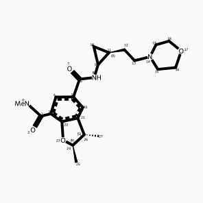 CNC(=O)c1cc(C(=O)NC2C[C@H]2CCN2CCOCC2)cc2c1O[C@H](C)[C@H]2C